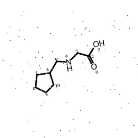 O=C(O)CNCC1CCCC1